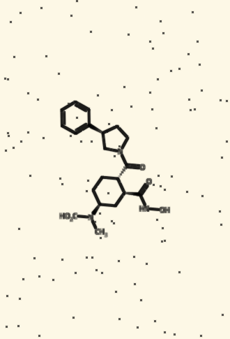 CN(C(=O)O)[C@H]1CC[C@H](C(=O)N2CC[C@H](c3ccccc3)C2)[C@@H](C(=O)NO)C1